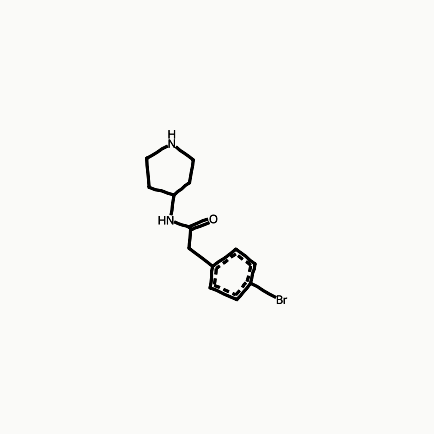 O=C(Cc1ccc(Br)cc1)NC1CCNCC1